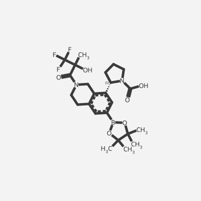 CC1(C)OB(c2cc3c(c([C@@H]4CCCN4C(=O)O)c2)CN(C(=O)C(C)(O)C(F)(F)F)CC3)OC1(C)C